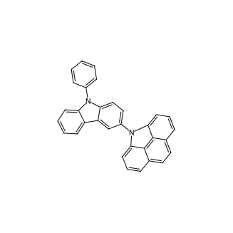 c1ccc(-n2c3ccccc3c3cc(-n4c5cccc6ccc7cccc4c7c65)ccc32)cc1